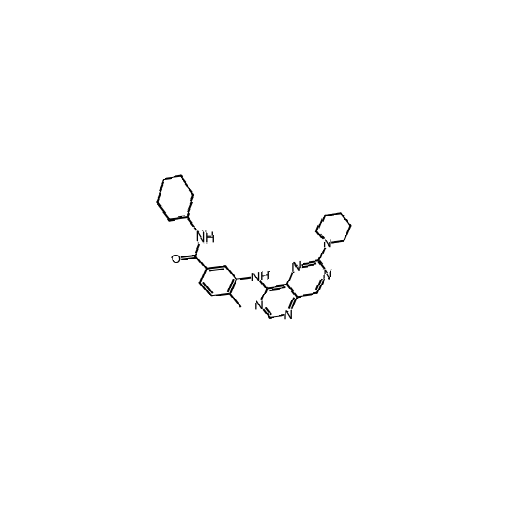 Cc1ccc(C(=O)NC2CCCCC2)cc1Nc1ncnc2cnc(N3CCCCC3)nc12